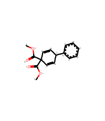 COC(=O)C1(C(=O)OC)C=CC(c2ccccc2)C=C1